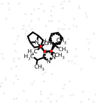 CC(C)c1nnc(C(C)(C)C)n1C1CC2CCC(C1)N2C(C)(C)C[C@H](C)c1ccccc1